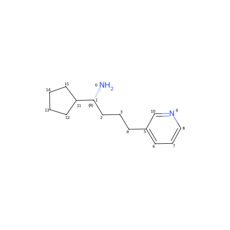 N[C@H](CCCc1cccnc1)C1CCCC1